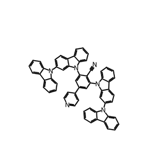 N#Cc1c(-n2c3ccccc3c3ccc(-n4c5ccccc5c5ccccc54)cc32)cc(-c2ccncc2)cc1-n1c2ccccc2c2ccc(-n3c4ccccc4c4ccccc43)cc21